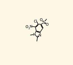 Cc1nc2cc(S(C)(=O)=O)c(Cl)c([N+](=O)[O-])c2n1C